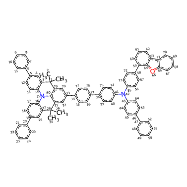 CC1(C)c2cc(-c3ccccc3)ccc2N2c3ccc(-c4ccccc4)cc3C(C)(C)c3cc(-c4ccc(-c5ccc(N(c6ccc(-c7ccccc7)cc6)c6ccc(-c7cccc8c7oc7ccccc78)cc6)cc5)cc4)cc1c32